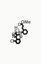 COC(=O)CCC1CCCCC1NC(=O)c1c(-c2c(F)cccc2Cl)noc1C